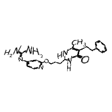 CC1=C(CCc2ccccc2)C(=O)NC(CCCOc2cc(N=C(N)N)ccn2)N1